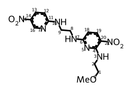 COCCNc1nc(NCCNc2ccc([N+](=O)[O-])cn2)ccc1[N+](=O)[O-]